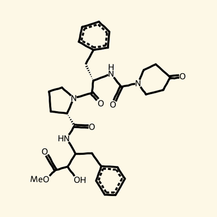 COC(=O)C(O)C(Cc1ccccc1)NC(=O)[C@@H]1CCCN1C(=O)[C@H](Cc1ccccc1)NC(=O)N1CCC(=O)CC1